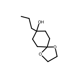 CCCC1(O)CCC2(CC1)OCCO2